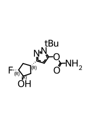 CC(C)(C)n1nc([C@@H]2C[C@@H](O)[C@H](F)C2)cc1OC(N)=O